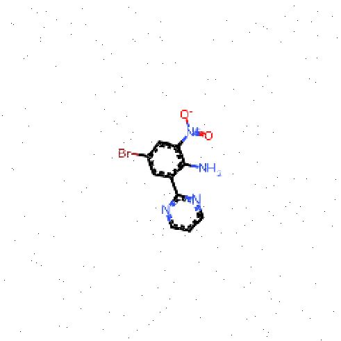 Nc1c(-c2ncccn2)cc(Br)cc1[N+](=O)[O-]